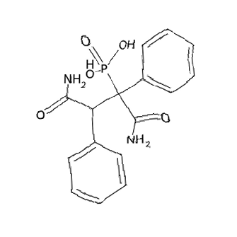 NC(=O)C(c1ccccc1)C(C(N)=O)(c1ccccc1)P(=O)(O)O